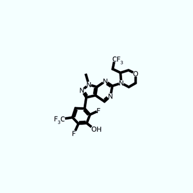 Cn1nc(-c2cc(C(F)(F)F)c(F)c(O)c2F)c2cnc(N3CCOCC3CC(F)(F)F)nc21